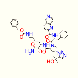 CC(C)(O)c1cnnn1[C@H]1C[C@@H](C(=O)NC(CCCCNC(=O)OCc2ccccc2)C(=O)C(N)=O)N(C(=O)[C@@H](CC2CCCCC2)NC(=O)c2ccc3cnccc3n2)C1